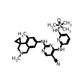 Cc1cc(Nc2ncc(C#N)c(Nc3cccc(NS(C)(C)(C)=O)n3)n2)cc2c1C1(CC1)CN(C)C2